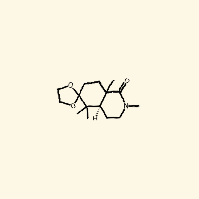 CN1CC[C@@H]2C(C)(CCC3(OCCO3)C2(C)C)C1=O